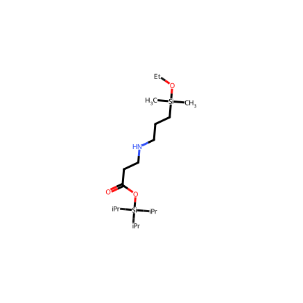 CCO[Si](C)(C)CCCNCCC(=O)O[Si](C(C)C)(C(C)C)C(C)C